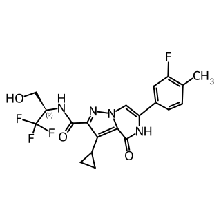 Cc1ccc(-c2cn3nc(C(=O)N[C@H](CO)C(F)(F)F)c(C4CC4)c3c(=O)[nH]2)cc1F